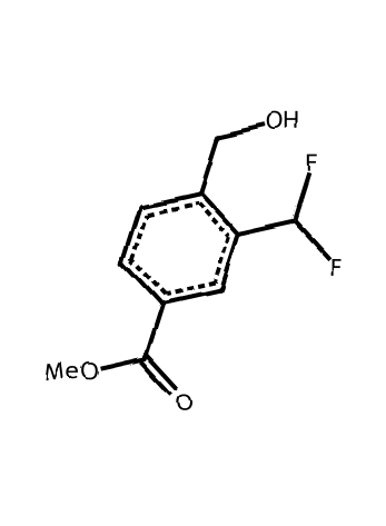 COC(=O)c1ccc(CO)c(C(F)F)c1